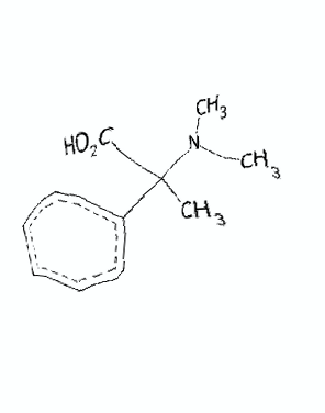 CN(C)C(C)(C(=O)O)c1ccccc1